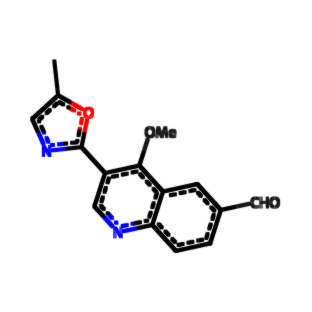 COc1c(-c2ncc(C)o2)cnc2ccc(C=O)cc12